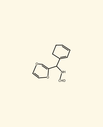 O=CNC(C1=CC=CCC1)C1=COC=CO1